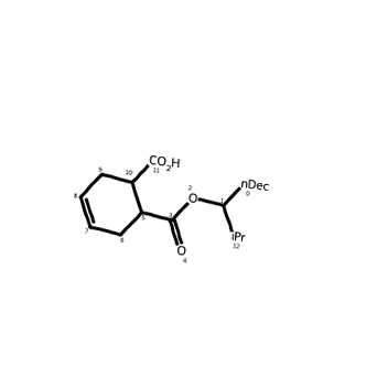 CCCCCCCCCCC(OC(=O)C1CC=CCC1C(=O)O)C(C)C